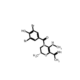 CNC1=C(C(C)=N)O[C@H](C)CN1C(=O)c1cc(Br)c(O)c(Br)c1